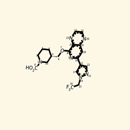 O=C(O)N1CCC[C@H](COc2nc(-c3cnn(CC(F)(F)F)c3)cc3nccnc23)C1